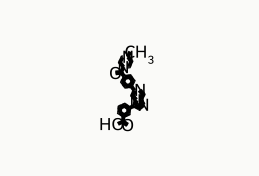 CN1CCN(C(=O)c2ccc(-c3cn4c(-c5cccc(C(=O)O)c5)cnc4cn3)cc2)CC1